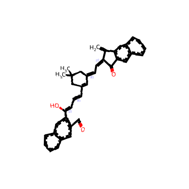 C=C1/C(=C/C=C2C=C(/C=C/C=C(\O)c3cc4ccccc4cc3C=O)CC(C)(C)C/2)C(=O)c2cc3ccccc3cc21